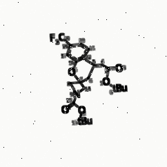 CC(C)(C)OC(=O)C=C1CC2(CN(C(=O)OC(C)(C)C)C2)Oc2cc(C(F)(F)F)ccc21